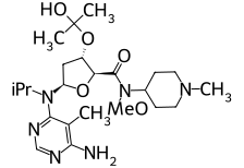 CON(C(=O)[C@H]1O[C@@H](N(c2ncnc(N)c2C)C(C)C)C[C@@H]1OC(C)(C)O)C1CCN(C)CC1